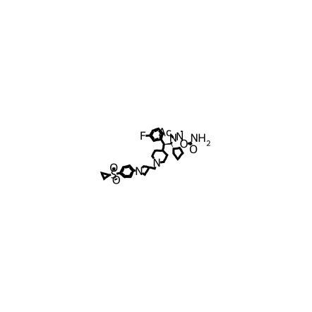 CC(=O)N(C([C@H](c1cccc(F)c1)C1CCN(CC2CN(c3ccc(S(=O)(=O)C4CC4)cc3)C2)CC1)[C@H]1CCC[C@@H]1OC(N)=O)N(C)C